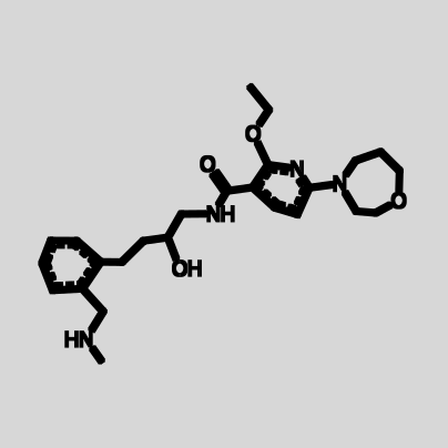 CCOc1nc(N2CCCOCC2)ccc1C(=O)NCC(O)CCc1ccccc1CNC